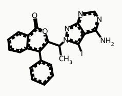 CC(c1oc(=O)c2ccccc2c1-c1ccccc1)n1nc2ncnc(N)c2c1I